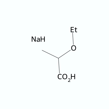 CCOC(C)C(=O)O.[NaH]